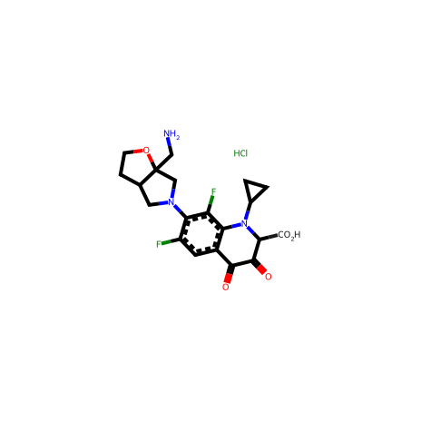 Cl.NCC12CN(c3c(F)cc4c(c3F)N(C3CC3)C(C(=O)O)C(=O)C4=O)CC1CCO2